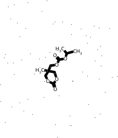 CC(C)OC(=O)OCC1(C)COC(=O)OC1